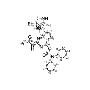 CC[C@@]12CN[C@@H]([C@H](n3cnc4c(OC(=O)N(c5ccccc5)c5ccccc5)nc(NC(=O)C(C)C)nc43)O1)[C@@H]2O